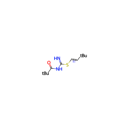 CC(C)(C)/C=C/SC(=N)NC(=O)C(C)(C)C